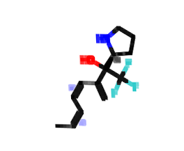 C=C(/C=C\C=C/C)C(O)([C@@H]1CCCN1)C(F)(F)F